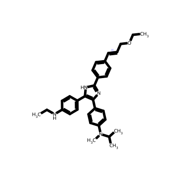 CCNc1ccc(-c2[nH]c(-c3ccc(/C=C/COCC)cc3)nc2-c2ccc(N(C)C(C)C)cc2)cc1